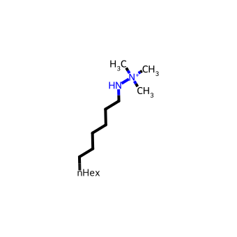 CCCCCCCCCCCCN[N+](C)(C)C